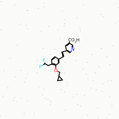 O=C(O)c1cncc(/C=C/c2ccc(CC(F)F)c(OCC3CC3)c2)c1